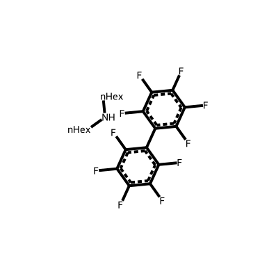 CCCCCCNCCCCCC.Fc1c(F)c(F)c(-c2c(F)c(F)c(F)c(F)c2F)c(F)c1F